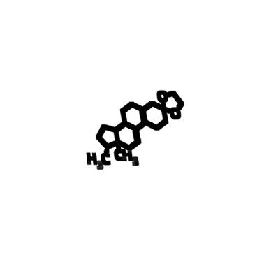 C[C@H]1CCC2C3CCC4=C(CCC5(C4)OCCO5)C3=CCC21C